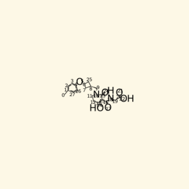 Cc1ccc(O[C@H]2C[C@H](CN3CCC(O)=C(C(=O)NCC(=O)O)C3=O)C2)cc1